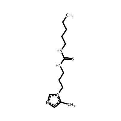 CCCCCNC(=S)NCCCn1cncc1C